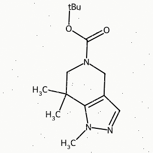 Cn1ncc2c1C(C)(C)CN(C(=O)OC(C)(C)C)C2